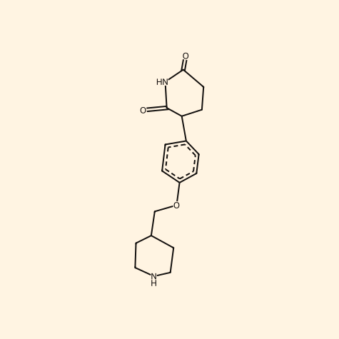 O=C1CCC(c2ccc(OCC3CCNCC3)cc2)C(=O)N1